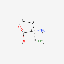 CC[C@@](C)(N)C(=O)O.Cl